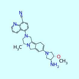 CO[C@H]1CN(C2=CCC3=C4CN(c5ccc(C#N)c6ncccc56)C[C@@H](C)N4CC3=C2)C[C@@H]1N